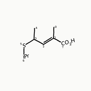 CC(=CC(C)SC(C)C)C(=O)O